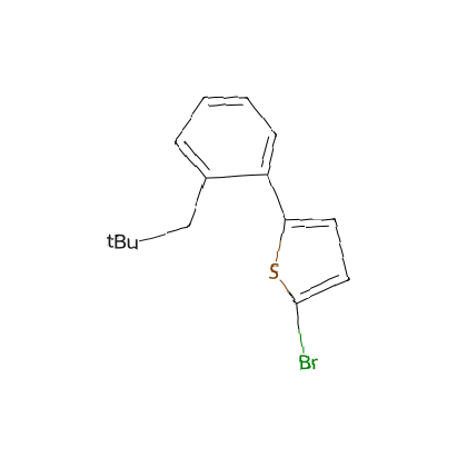 CC(C)(C)Cc1ccccc1-c1ccc(Br)s1